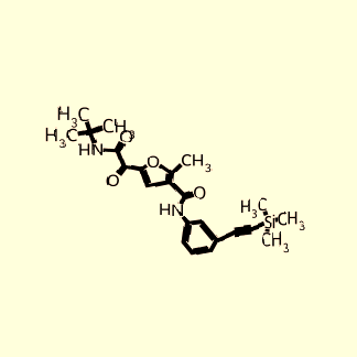 Cc1oc(C(=O)C(=O)NC(C)(C)C)cc1C(=O)Nc1cccc(C#C[Si](C)(C)C)c1